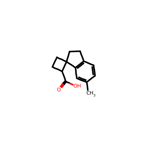 Cc1ccc2c(c1)C1(CC2)CCC1C(=O)O